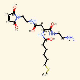 CC(=O)SCCCCCC(=O)N[C@@H](CC(=O)NCCN1C(=O)C=CC1=O)C(=O)NCCN